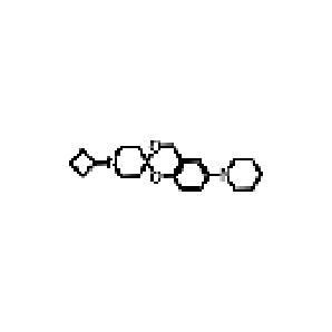 c1cc2c(cc1N1CCCCC1)COC1(CCN(C3CCC3)CC1)O2